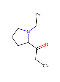 C[C](C)CN1CCCC1C(=O)CC#N